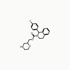 O=C(OCC1CNCCO1)N1CCc2ccccc2C1c1ccc(F)cc1